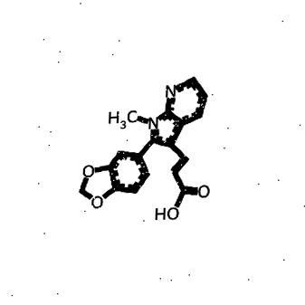 Cn1c(-c2ccc3c(c2)OCO3)c(/C=C/C(=O)O)c2cccnc21